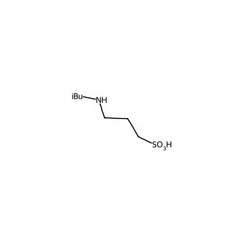 CCC(C)NCCCS(=O)(=O)O